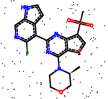 C[C@@H]1COCCN1c1nc(-c2c(F)ncc3[nH]ccc23)nc2c(S(C)(=O)=O)csc12